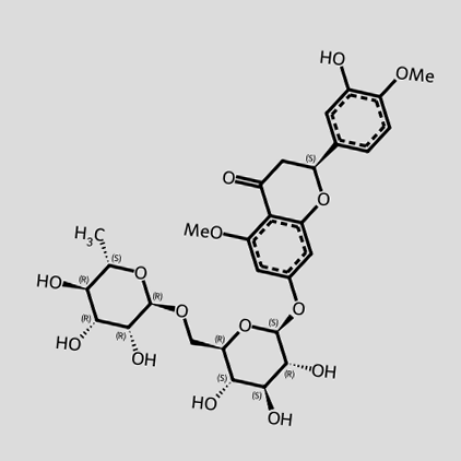 COc1ccc([C@@H]2CC(=O)c3c(OC)cc(O[C@@H]4O[C@H](CO[C@@H]5O[C@@H](C)[C@H](O)[C@@H](O)[C@H]5O)[C@@H](O)[C@H](O)[C@H]4O)cc3O2)cc1O